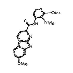 CNc1c(NC(=O)c2ccn3c(n2)nc2cc(OC)ccc23)ccnc1OC